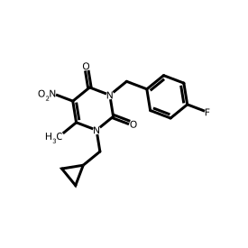 Cc1c([N+](=O)[O-])c(=O)n(Cc2ccc(F)cc2)c(=O)n1CC1CC1